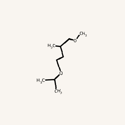 COCC(C)CCOC(C)C